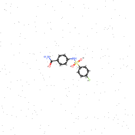 NC(=O)c1ccc(NS(=O)(=O)c2ccc(F)cc2)cc1